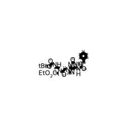 CCOC(=O)CN(CCNC(=O)OC(C)(C)C)C(=O)Cn1cnc2c(NC(=O)OCc3ccccc3)[nH]c(=O)nc21